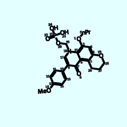 CCCOc1cc2c(c3c(=O)c(-c4ccc(OC)cc4)cn(COP(=O)(O)O)c13)CCCO2